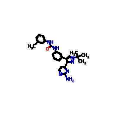 Cc1cccc(NC(=O)Nc2cccc(-c3cn(C(C)(C)C)nc3-c3ccnc(N)n3)c2)c1